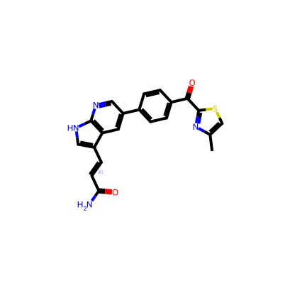 Cc1csc(C(=O)c2ccc(-c3cnc4[nH]cc(/C=C/C(N)=O)c4c3)cc2)n1